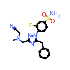 CN(CC#N)Cc1nc(Cc2ccccc2)n(-c2ccc(S(N)(=O)=O)cc2F)n1